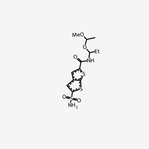 CCC(NC(=O)c1cc2cc(S(N)(=O)=O)sc2s1)OC(C)OC